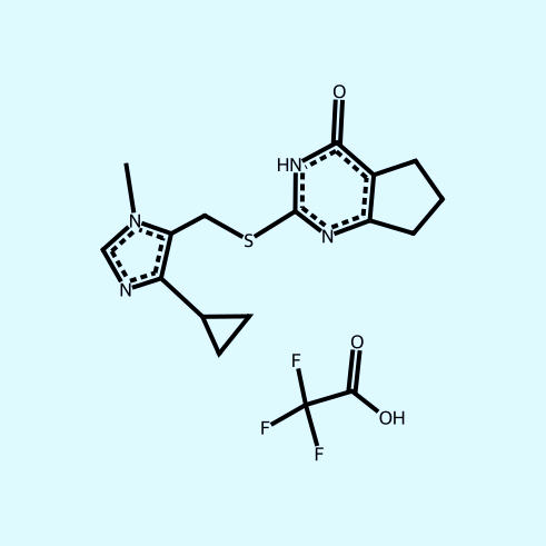 Cn1cnc(C2CC2)c1CSc1nc2c(c(=O)[nH]1)CCC2.O=C(O)C(F)(F)F